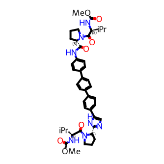 COC(=O)N[C@H](C(=O)N1CCC[C@H]1C(=O)Nc1ccc(-c2ccc(-c3ccc(-c4cnc([C@@H]5CCCN5C(=O)[C@@H](NC(=O)OC)C(C)C)[nH]4)cc3)cc2)cc1)C(C)C